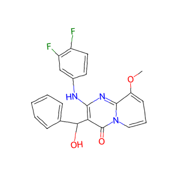 COc1cccn2c(=O)c(C(O)c3ccccc3)c(Nc3ccc(F)c(F)c3)nc12